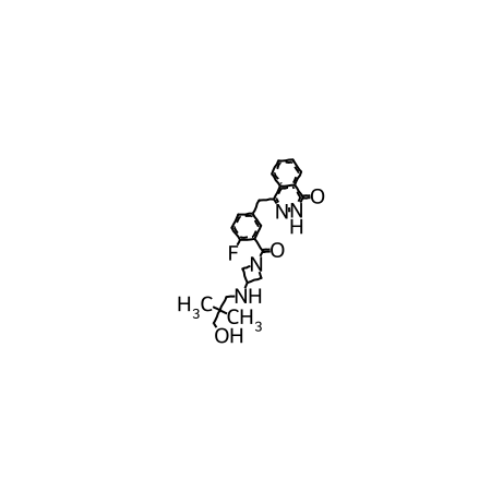 CC(C)(CO)CNC1CN(C(=O)c2cc(Cc3n[nH]c(=O)c4ccccc34)ccc2F)C1